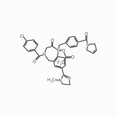 CN1CCN=C1c1ccc2c(c1)CN(C(=O)c1ccc(Cl)cc1)CC(=O)[N+]2(Cc1ccc(C(=O)N2CC=CC2)cc1)OC(=O)C(F)(F)F